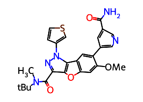 COc1cc2oc3c(C(=O)N(C)C(C)(C)C)nn(-c4ccsc4)c3c2cc1-c1cncc(C(N)=O)c1